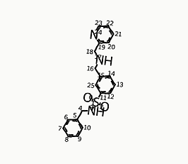 O=S(=O)(NCc1ccccc1)c1cccc(CNCc2ccccn2)c1